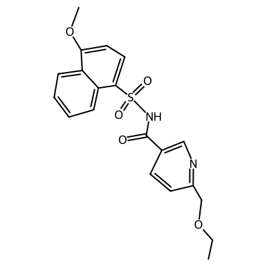 CCOCc1ccc(C(=O)NS(=O)(=O)c2ccc(OC)c3ccccc23)cn1